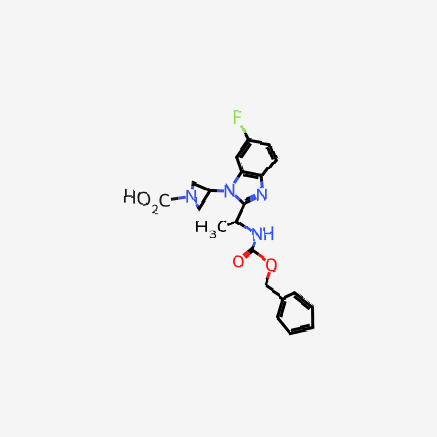 C[C@H](NC(=O)OCc1ccccc1)c1nc2ccc(F)cc2n1C1CN(C(=O)O)C1